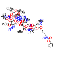 CCCCOCC(O[C@H](OP(=O)(ONC(C)(CC)CC)O[C@@H]1C(COCCCC)O[C@H](OP(=O)(ONC(C)(CC)CC)O[C@@H]2C(COCCCC)O[C@H](OP(=O)(ONC(C)(CC)CC)O[C@@H]3C(COCCCC)O[C@H](OCCCCCCNC(=O)OCc4ccccc4)C(N=[N+]=[N-])[C@H]3OCCCC)C(N=[N+]=[N-])[C@H]2OCCCC)C(N=[N+]=[N-])[C@H]1OCCCC)[C@H](COCCCC)N=[N+]=[N-])[C@H](C)OC(C)=O